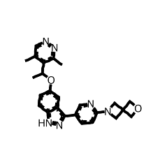 Cc1cnnc(C)c1C(C)Oc1ccc2[nH]nc(-c3ccc(N4CC5(COC5)C4)nc3)c2c1